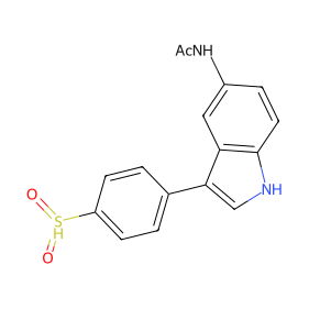 CC(=O)Nc1ccc2[nH]cc(-c3ccc([SH](=O)=O)cc3)c2c1